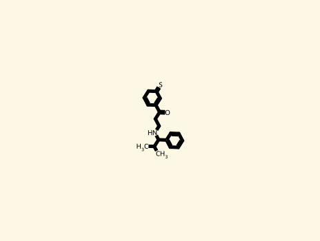 CC(C)C(NCCC(=O)C1=CC(=S)CC=C1)c1ccccc1